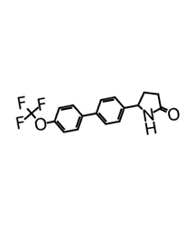 O=C1CCC(c2ccc(-c3ccc(OC(F)(F)F)cc3)cc2)N1